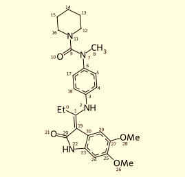 CCC(Nc1ccc(N(C)C(=O)N2CCCCC2)cc1)=C1C(=O)Nc2cc(OC)c(OC)cc21